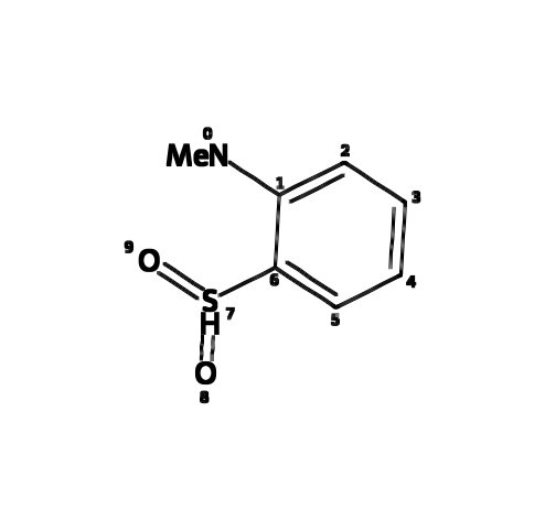 CNc1ccccc1[SH](=O)=O